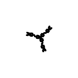 CCN(CC)c1ccc(CCc2ccc(N(c3ccc(CCc4ccc(N(CC)CC)cc4)cc3)c3ccc(CCc4ccc(N(CC)CC)cc4)cc3)cc2)cc1